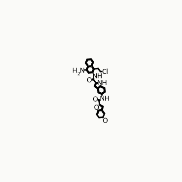 Nc1cc(NC(=O)c2cc3cc(NC(=O)c4cc5c(o4)=CCC(=O)C=5)ccc3[nH]2)c(CCCl)c2ccccc12